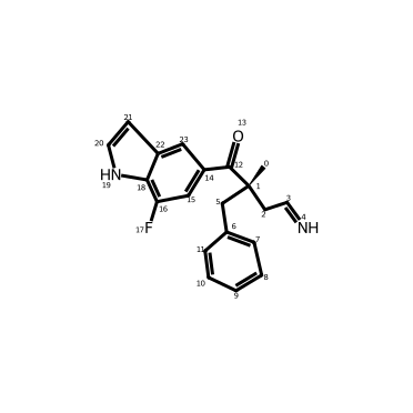 C[C@@](CC=N)(Cc1ccccc1)C(=O)c1cc(F)c2[nH]ccc2c1